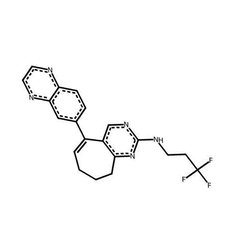 FC(F)(F)CCNc1ncc2c(n1)CCCC=C2c1ccc2nccnc2c1